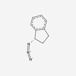 [N-]=[N+]=N[C@H]1CCc2ccccc21